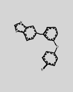 Fc1ccc(Oc2cccc(-c3ccc4scnc4c3)c2)cc1